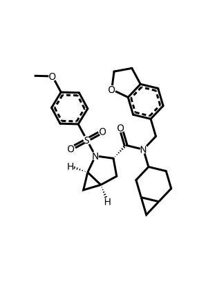 COc1ccc(S(=O)(=O)N2[C@@H]3C[C@@H]3C[C@H]2C(=O)N(Cc2ccc3c(c2)OCC3)C2CCC3CC3C2)cc1